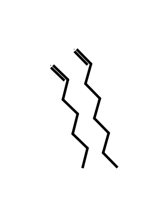 [CH]=CCCCCC.[CH]=CCCCCCC